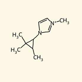 CC1C(n2cc[n+](C)c2)C1(C)C